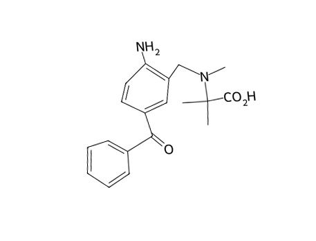 CN(Cc1cc(C(=O)c2ccccc2)ccc1N)C(C)(C)C(=O)O